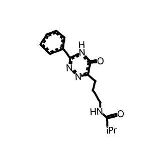 CC(C)C(=O)NCCCc1nnc(-c2ccccc2)[nH]c1=O